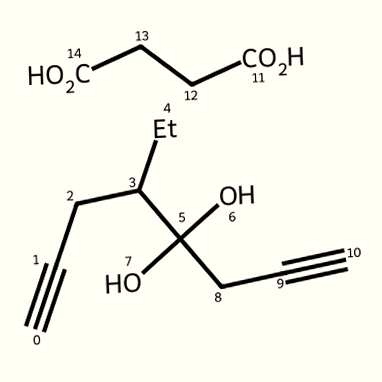 C#CCC(CC)C(O)(O)CC#C.O=C(O)CCC(=O)O